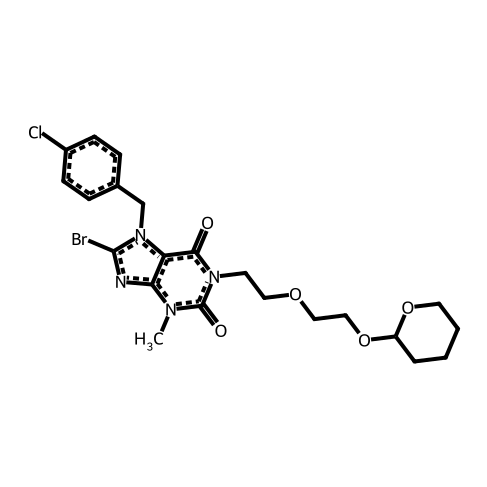 Cn1c(=O)n(CCOCCOC2CCCCO2)c(=O)c2c1nc(Br)n2Cc1ccc(Cl)cc1